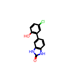 O=c1[nH]c2ccc(-c3cc(Cl)ccc3O)cc2[nH]1